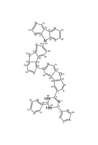 c1ccc(C2N=C(c3ccc4oc5ccc(-c6cccc7sc8cc(-n9c%10ccccc%10c%10ccccc%109)ccc8c67)cc5c4c3)NC(c3ccccc3)N2)cc1